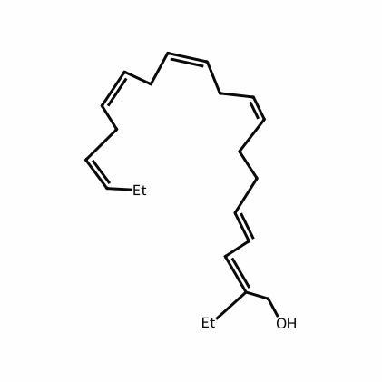 CC/C=C\C/C=C\C/C=C\C/C=C\CC/C=C/C=C(/CC)CO